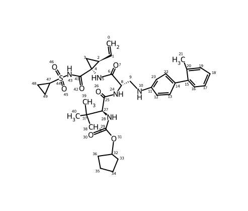 C=C[C@@H]1C[C@]1(NC(=O)[C@H](CNc1ccc(-c2ccccc2C)cc1)NC(=O)[C@@H](NC(=O)OC1CCCC1)C(C)(C)C)C(=O)NS(=O)(=O)C1CC1